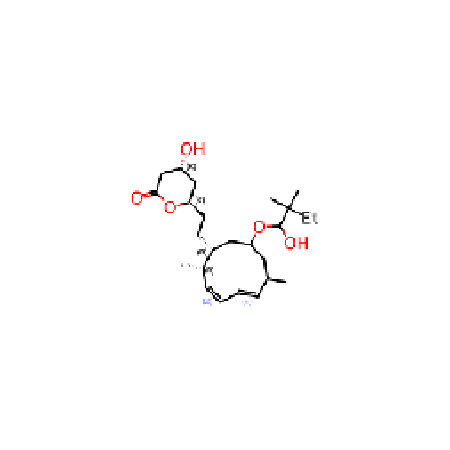 CCC(C)(C)C(O)OC1CC(C)/C=C/C=C\[C@H](C)[C@H](CC[C@@H]2C[C@@H](O)CC(=O)O2)C1